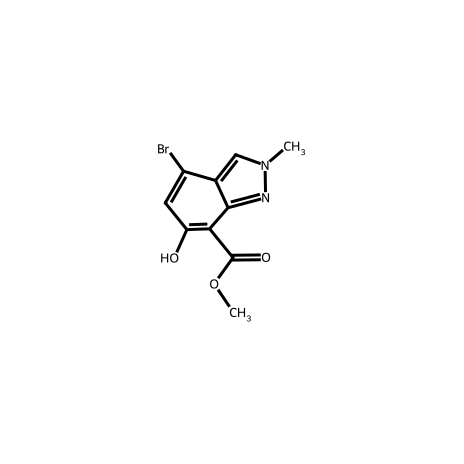 COC(=O)c1c(O)cc(Br)c2cn(C)nc12